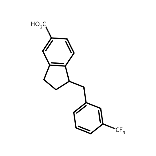 O=C(O)c1ccc2c(c1)CCC2Cc1cccc(C(F)(F)F)c1